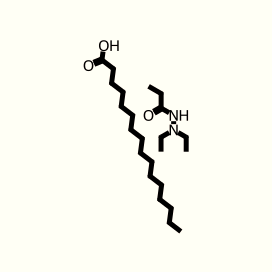 CCC(=O)NN(CC)CC.CCCCCCCCCCCCCCCC(=O)O